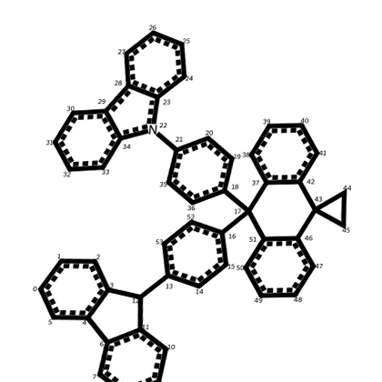 c1ccc2c(c1)-c1ccccc1C2c1ccc(C2(c3ccc(-n4c5ccccc5c5ccccc54)cc3)c3ccccc3C3(CC3)c3ccccc32)cc1